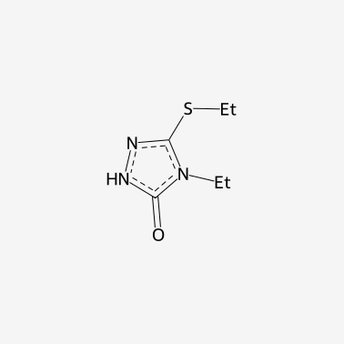 CCSc1n[nH]c(=O)n1CC